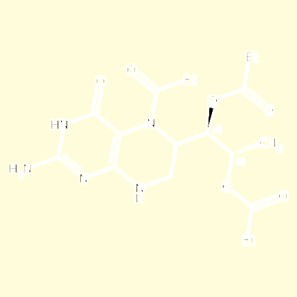 CCC(=O)O[C@@H](C)[C@H](OC(=O)CC)C1CNc2nc(N)[nH]c(=O)c2N1C(=O)CC